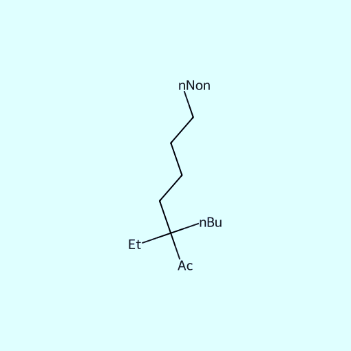 CCCCCCCCCCCCCC(CC)(CCCC)C(C)=O